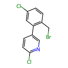 Clc1ccc(CBr)c(-c2ccc(Cl)nc2)c1